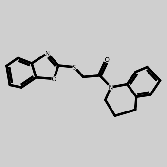 O=C(CSc1nc2ccccc2o1)N1CCCc2ccccc21